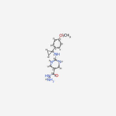 COc1ccc(C2(Nc3ncc(C(=O)NN)cn3)CC2)cc1